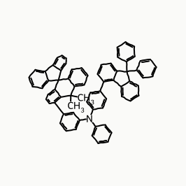 CC1(C)c2ccccc2C2(c3ccccc3-c3ccccc32)c2cccc(-c3cccc(N(c4ccccc4)c4ccc(-c5cccc6c5-c5ccccc5C6(c5ccccc5)c5ccccc5)cc4)c3)c21